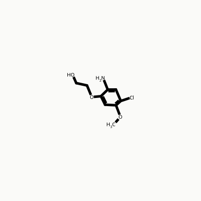 COc1cc(OCCO)c(N)cc1Cl